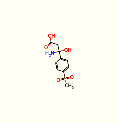 CS(=O)(=O)c1ccc(C(N)(O)CC(=O)O)cc1